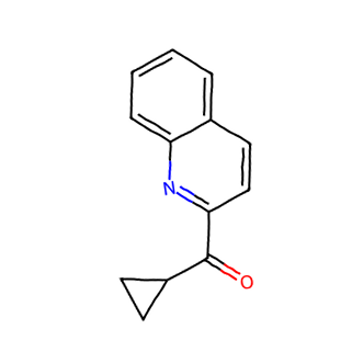 O=C(c1ccc2ccccc2n1)C1CC1